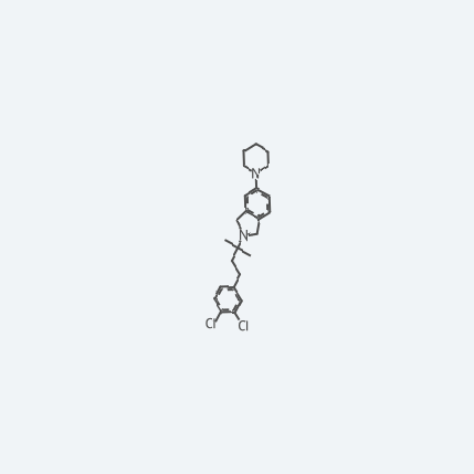 CC(C)(CCc1ccc(Cl)c(Cl)c1)N1Cc2ccc(N3CCCCC3)cc2C1